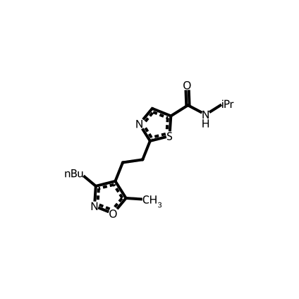 CCCCc1noc(C)c1CCc1ncc(C(=O)NC(C)C)s1